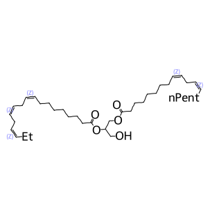 CC/C=C\C/C=C\C/C=C\CCCCCCCC(=O)OC(CO)COC(=O)CCCCCCC/C=C\C/C=C\CCCCC